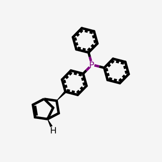 C1=C[C@@H]2CC1[C@@H](c1ccc(P(c3ccccc3)c3ccccc3)cc1)C2